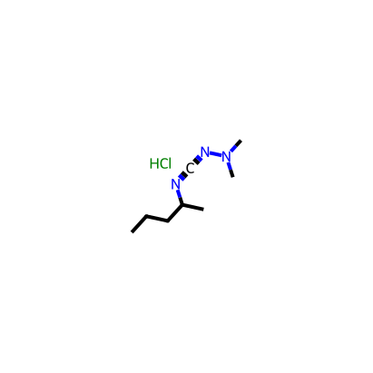 CCCC(C)N=C=NN(C)C.Cl